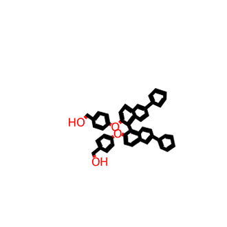 OCc1ccc(Oc2ccc3cc(-c4ccccc4)ccc3c2-c2c(Oc3ccc(CO)cc3)ccc3cc(-c4ccccc4)ccc23)cc1